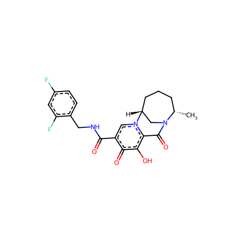 C[C@H]1CCC[C@@H]2CN1C(=O)c1c(O)c(=O)c(C(=O)NCc3ccc(F)cc3F)cn12